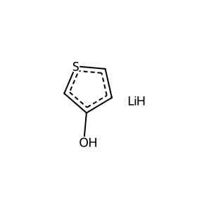 Oc1ccsc1.[LiH]